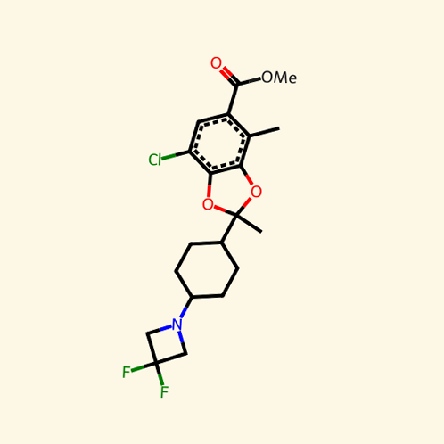 COC(=O)c1cc(Cl)c2c(c1C)OC(C)(C1CCC(N3CC(F)(F)C3)CC1)O2